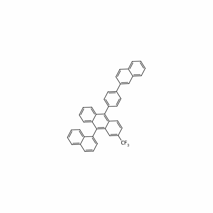 FC(F)(F)c1ccc2c(-c3ccc(-c4ccc5ccccc5c4)cc3)c3ccccc3c(-c3cccc4ccccc34)c2c1